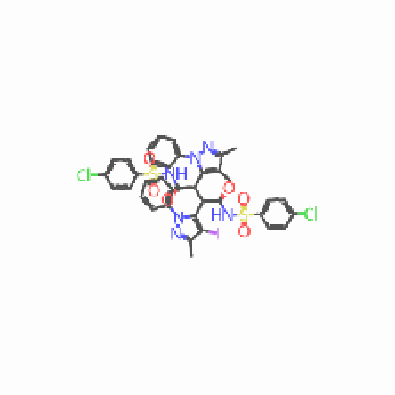 Cc1nn(-c2ccccc2)c(C(C(=O)NS(=O)(=O)c2ccc(Cl)cc2)C(C(=O)NS(=O)(=O)c2ccc(Cl)cc2)c2c(I)c(C)nn2-c2ccccc2)c1C